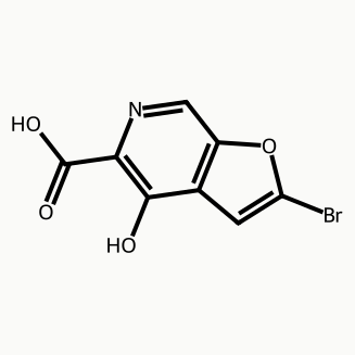 O=C(O)c1ncc2oc(Br)cc2c1O